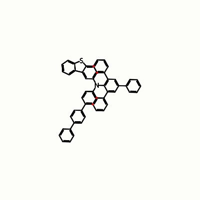 c1ccc(-c2ccc(-c3ccc(N(c4ccc5sc6ccccc6c5c4)c4c(-c5ccccc5)cc(-c5ccccc5)cc4-c4ccccc4)cc3)cc2)cc1